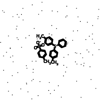 Cc1ccc(S(=O)(=O)[O-])cc1.Cc1ccc([S+](c2ccccc2)c2ccc(C)cc2)cc1